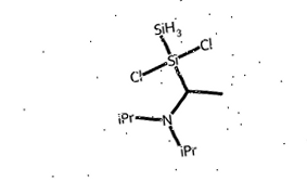 CC(C)N(C(C)C)C(C)[Si]([SiH3])(Cl)Cl